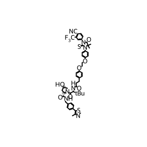 Cc1ncsc1-c1ccc(CNC(=O)[C@@H]2C[C@@H](O)CN2C(=O)C(NC(=O)CCc2ccc(OCCOc3ccc(N4C(=S)N(c5ccc(C#N)c(C(F)(F)F)c5)C(=O)C4(C)C)cc3)cc2)C(C)(C)C)cc1